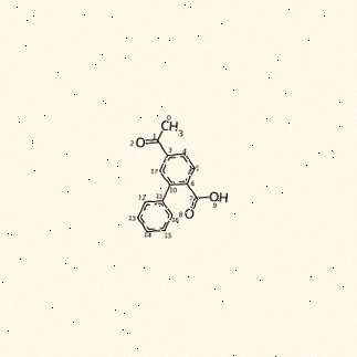 CC(=O)c1ccc(C(=O)O)c(-c2ccccc2)c1